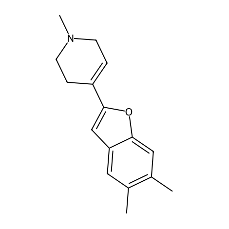 Cc1cc2cc(C3=CCN(C)CC3)oc2cc1C